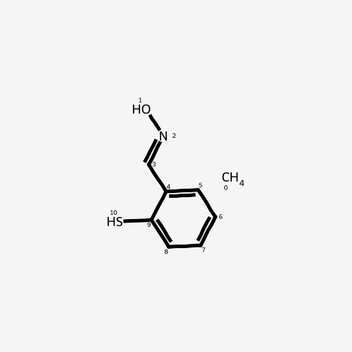 C.ON=Cc1ccccc1S